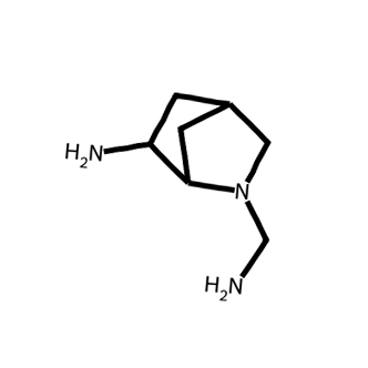 NCN1CC2CC(N)C1C2